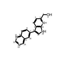 OCc1ccc2c(-c3ccc4ncncc4c3)c[nH]c2n1